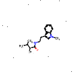 CC(C)C(C)C(=O)NCCc1cn(C)c2ccccc12